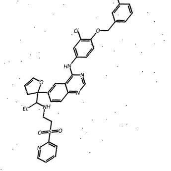 CCC(NCCS(=O)(=O)c1ccccn1)C1(c2ccc3ncnc(Nc4ccc(OCc5cccc(F)c5)c(Cl)c4)c3c2)CC=CO1